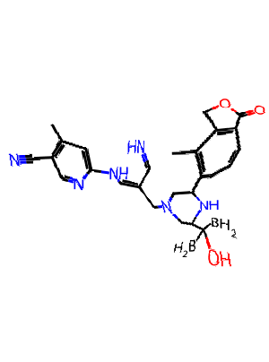 BC(B)(O)C1CN(C/C(C=N)=C/Nc2cc(C)c(C#N)cn2)CC(c2ccc3c(c2C)COC3=O)N1